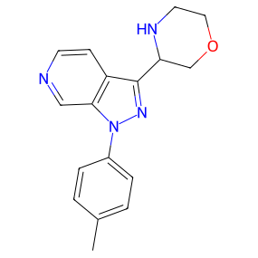 Cc1ccc(-n2nc(C3COCCN3)c3ccncc32)cc1